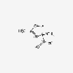 CC1=NC(C)(C(=O)Cl)CO1